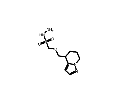 NNS(=O)(=O)COCC1CCCn2nccc21